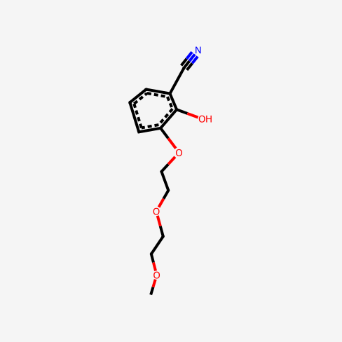 COCCOCCOc1cccc(C#N)c1O